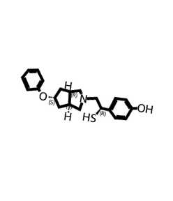 Oc1ccc([C@@H](S)CN2C[C@H]3C[C@H](Oc4ccccc4)C[C@H]3C2)cc1